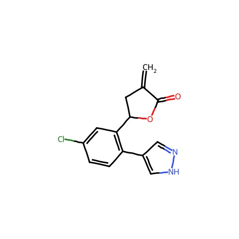 C=C1CC(c2cc(Cl)ccc2-c2cn[nH]c2)OC1=O